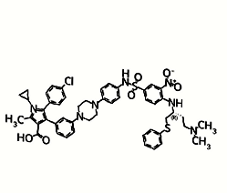 Cc1c(C(=O)O)c(-c2cccc(N3CCN(c4ccc(NS(=O)(=O)c5ccc(N[C@H](CCN(C)C)CSc6ccccc6)c([N+](=O)[O-])c5)cc4)CC3)c2)c(-c2ccc(Cl)cc2)n1C1CC1